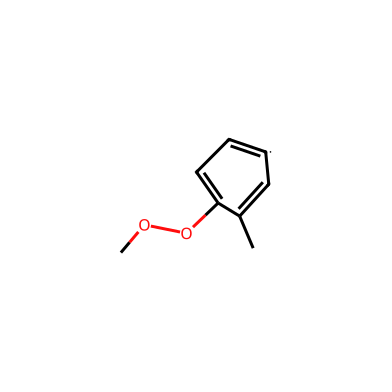 COOc1cc[c]cc1C